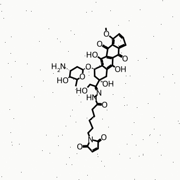 COc1cccc2c1C(=O)c1c(O)c3c(c(O)c1C2=O)C[C@@](O)(/C(CO)=N/NC(=O)CCCCCN1C(=O)C=CC1=O)C[C@@H]3O[C@H]1C[C@@H](N)[C@@H](O)C(C)O1